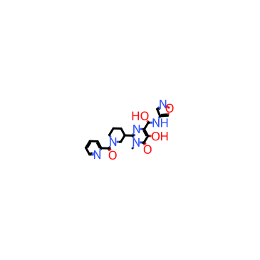 Cn1c(C2CCCN(C(=O)c3ccccn3)C2)nc(C(O)Nc2cnoc2)c(O)c1=O